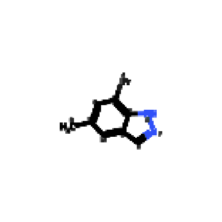 Cc1cc(C(C)C)c2[nH]ncc2c1